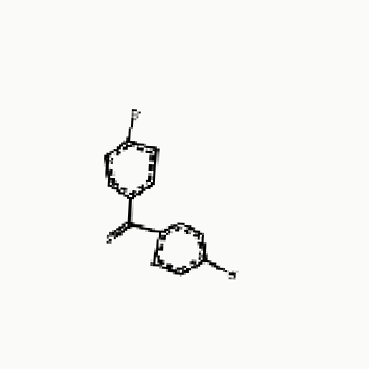 S=C(c1ccc(Br)cc1)c1ccc(Br)cc1